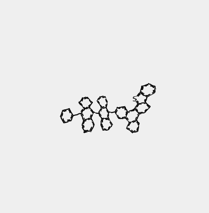 c1ccc(-c2c3ccccc3c(-c3c4ccccc4c(-c4ccc5c(c4)c4ccccc4c4ccc6c7ccccc7sc6c45)c4ccccc34)c3ccccc23)cc1